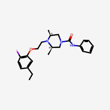 CCc1ccc(I)c(OCCN2[C@H](C)CN(C(=O)Nc3ccccc3)C[C@@H]2C)c1